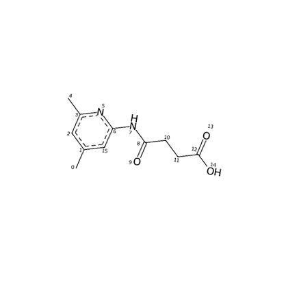 Cc1cc(C)nc(NC(=O)CCC(=O)O)c1